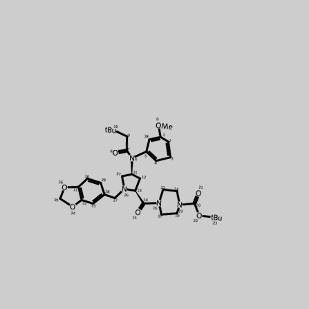 COc1cccc(N(C(=O)CC(C)(C)C)[C@H]2C[C@@H](C(=O)N3CCN(C(=O)OC(C)(C)C)CC3)N(Cc3ccc4c(c3)OCO4)C2)c1